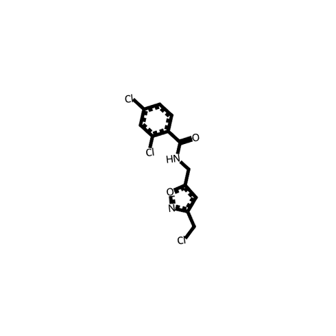 O=C(NCc1cc(CCl)no1)c1ccc(Cl)cc1Cl